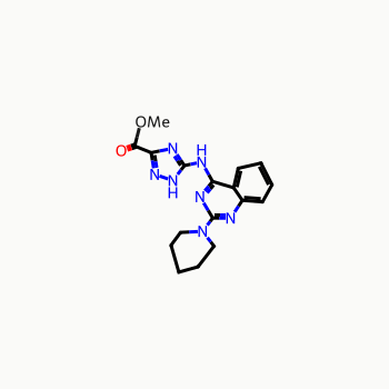 COC(=O)c1n[nH]c(Nc2nc(N3CCCCC3)nc3ccccc23)n1